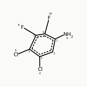 Nc1cc(Cl)c(Cl)c(F)c1F